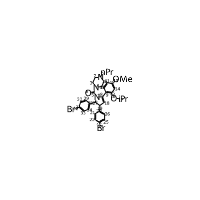 CCCN1CCN(C(=O)N2C(c3ccc(OC)cc3OC(C)C)=CC(c3ccc(Br)cc3)C2c2ccc(Br)cc2)CC1